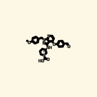 COc1ccc(Cn2nc(N[C@@H]3CCCN(C(=O)O)C3)c3c(Oc4ccc(C=O)cc4)ccnc32)cc1